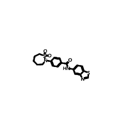 O=C(Nc1ccc2scnc2c1)c1ccc(N2CCCCCS2(=O)=O)cc1